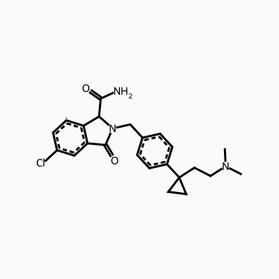 CN(C)CCC1(c2ccc(CN3C(=O)c4cc(Cl)c[c]c4C3C(N)=O)cc2)CC1